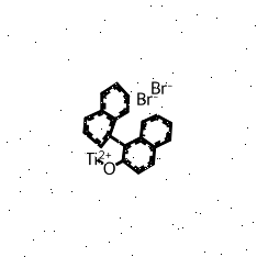 [Br-].[Br-].[Ti+2][O]c1ccc2ccccc2c1-c1cccc2ccccc12